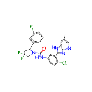 Cc1cnc2nc(-c3cc(NC(=O)N4CC(F)(F)CC4c4cccc(F)c4)ccc3Cl)[nH]c2c1